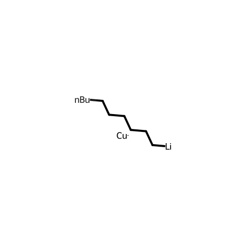 [Cu].[Li][CH2]CCCCCCCCC